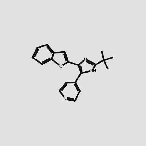 CC(C)(C)c1nc(-c2cc3ccccc3o2)c(-c2ccncc2)[nH]1